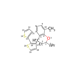 CCCC(CC)Oc1c(C)cccc1C.c1csc(-c2cccs2)c1